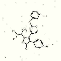 CCN(CC)C(C)n1oc(=O)c(-c2ccc(F)cc2)c1-c1ccnc(Oc2ccccc2)n1